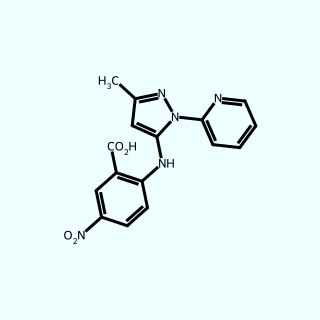 Cc1cc(Nc2ccc([N+](=O)[O-])cc2C(=O)O)n(-c2ccccn2)n1